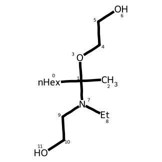 CCCCCCC(C)(OCCO)N(CC)CCO